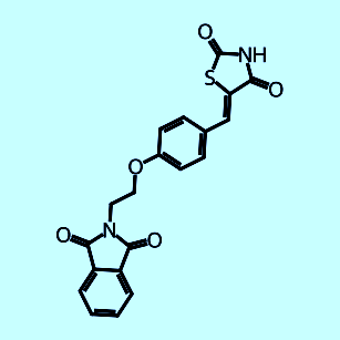 O=C1NC(=O)/C(=C/c2ccc(OCCN3C(=O)c4ccccc4C3=O)cc2)S1